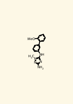 COc1ccccc1-c1cccc(Nc2nc(N)nn2C)c1